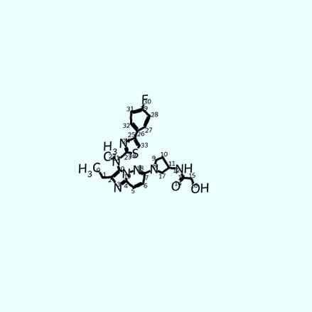 CCc1nc2ccc(N3CCC(NC(=O)CO)C3)nn2c1N(C)c1nc(-c2ccc(F)cc2)cs1